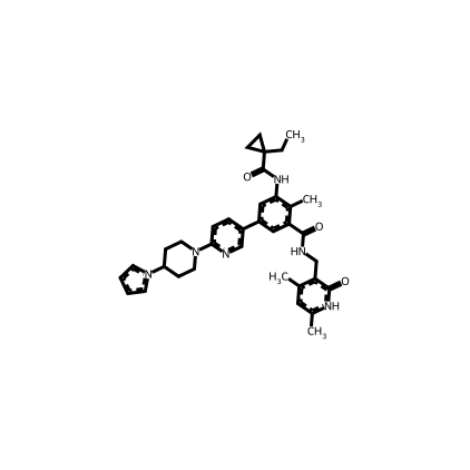 CCC1(C(=O)Nc2cc(-c3ccc(N4CCC(n5cccc5)CC4)nc3)cc(C(=O)NCc3c(C)cc(C)[nH]c3=O)c2C)CC1